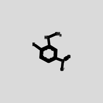 CNc1cc([N+](=O)[O-])ccc1F